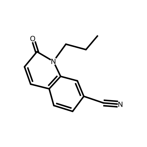 CCCn1c(=O)ccc2ccc(C#N)cc21